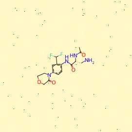 CC(=O)N[C@H](CN)C(=O)Nc1ccc(N2CCOCC2=O)cc1C(F)F